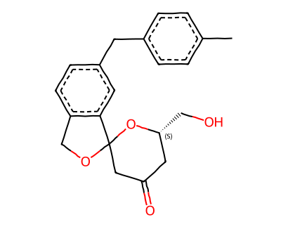 Cc1ccc(Cc2ccc3c(c2)C2(CC(=O)C[C@@H](CO)O2)OC3)cc1